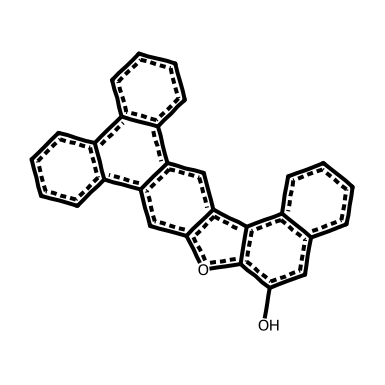 Oc1cc2ccccc2c2c1oc1cc3c4ccccc4c4ccccc4c3cc12